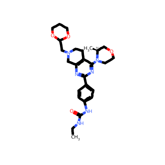 CCNC(=O)Nc1ccc(-c2nc3c(c(N4CCOC[C@@H]4C)n2)CCN(CC2OCCCO2)C3)cc1